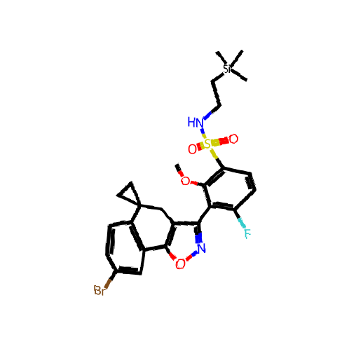 COc1c(S(=O)(=O)NCC[Si](C)(C)C)ccc(F)c1-c1noc2c1CC1(CC1)c1ccc(Br)cc1-2